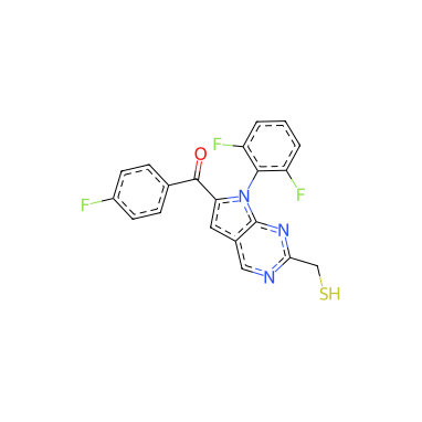 O=C(c1ccc(F)cc1)c1cc2cnc(CS)nc2n1-c1c(F)cccc1F